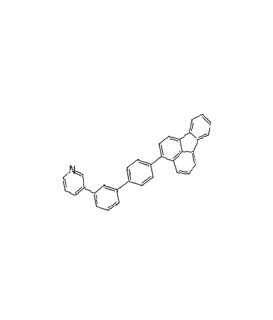 c1cncc(-c2cccc(-c3ccc(-c4ccc5c6c(cccc46)-c4ccccc4-5)cc3)c2)c1